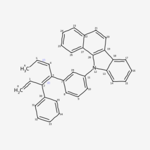 C=C/C(=C(\C=C/C)c1cccc(-n2c3ccccc3c3ccc4ccccc4c32)c1)c1ccccc1